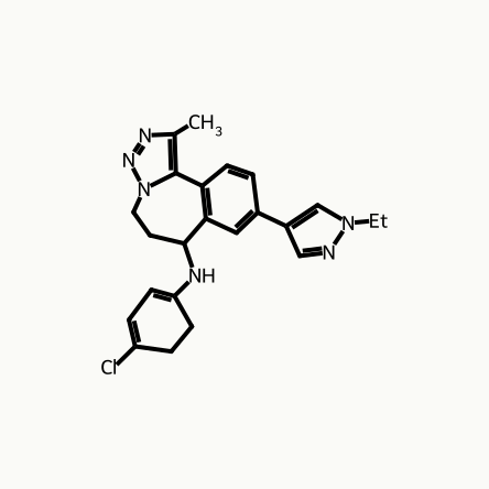 CCn1cc(-c2ccc3c(c2)C(NC2=CC=C(Cl)CC2)CCn2nnc(C)c2-3)cn1